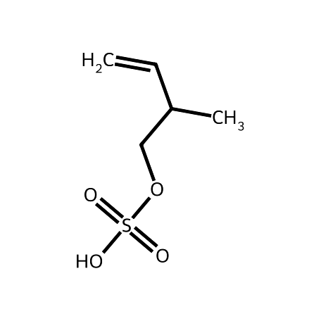 C=CC(C)COS(=O)(=O)O